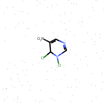 O=[N+]([O-])C1=CN=CN(Cl)C1Cl